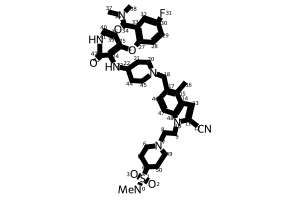 CNS(=O)(=O)C1CCN(CCn2c(C#N)cc3c(C)c(CN4CCC(Nc5c(Oc6ccc(F)cc6C(=O)N(C)C)cc[nH]c5=O)CC4)ccc32)CC1